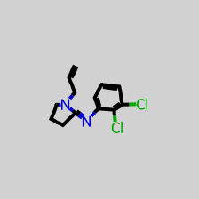 C=CCN1CCCC1=Nc1cccc(Cl)c1Cl